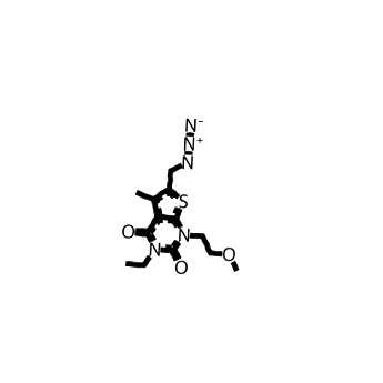 CCn1c(=O)c2c(C)c(CN=[N+]=[N-])sc2n(CCOC)c1=O